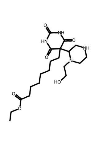 CCOC(=O)CCCCCCCC1(C2CNCCN2CCO)C(=O)NC(=O)NC1=O